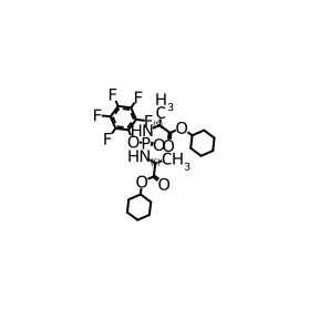 C[C@H](NP(=O)(N[C@@H](C)C(=O)OC1CCCCC1)Oc1c(F)c(F)c(F)c(F)c1F)C(=O)OC1CCCCC1